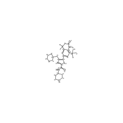 CN1C(=O)CC(C)(C)c2cc(-c3sc(C(=O)NC4CCOCC4)nc3CC3CCCCC3)cc(C(C)(C)C)c21